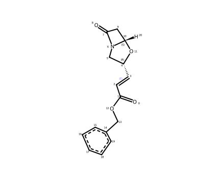 O=C(/C=C/[C@@H]1CN2C(=O)C[C@@H]2O1)OCc1ccccc1